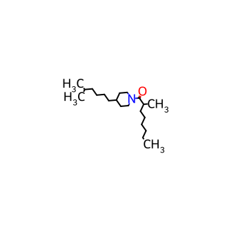 CCCCCCC(C)C(=O)N1CCC(CCCCC(C)C)CC1